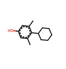 Cc1cc(O)cc(C)c1C1CCCCC1